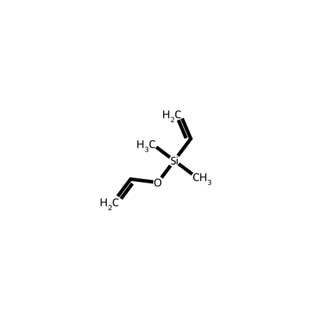 C=CO[Si](C)(C)C=C